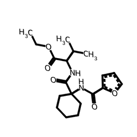 CCOC(=O)C(NC(=O)C1(NC(=O)c2ccco2)CCCCC1)C(C)C